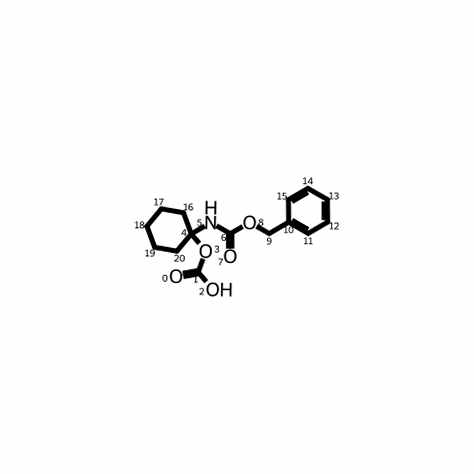 O=C(O)OC1(NC(=O)OCc2ccccc2)CCCCC1